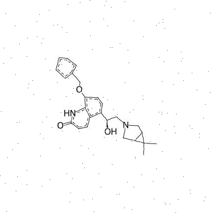 CC1(C)C2CN(C[C@@H](O)c3ccc(OCc4ccccc4)c4[nH]c(=O)ccc34)CC21